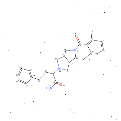 Cc1cccc(C)c1C(=O)N1CC2CN(C(C[CH]c3ccccc3)C(N)=O)CC2C1